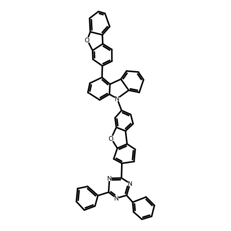 c1ccc(-c2nc(-c3ccccc3)nc(-c3ccc4c(c3)oc3cc(-n5c6ccccc6c6c(-c7ccc8c(c7)oc7ccccc78)cccc65)ccc34)n2)cc1